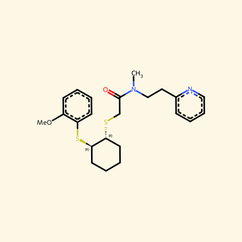 COc1ccccc1S[C@@H]1CCCC[C@H]1SCC(=O)N(C)CCc1ccccn1